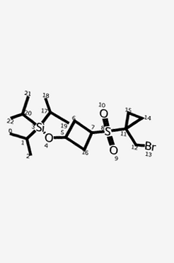 CC(C)[Si](OC1CC(S(=O)(=O)C2(CBr)CC2)C1)(C(C)C)C(C)C